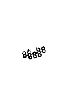 c1ccc2c(-c3c4ccccc4c(-c4ccc(-c5c6ccccc6c(-c6cccc7ccccc67)c6ccncc56)c5ccccc45)c4cnccc34)cccc2c1